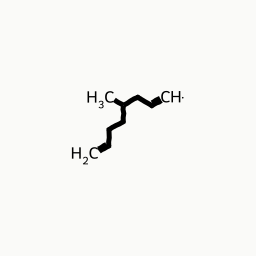 [CH]=CCC(C)CCC=C